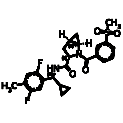 Cc1cc(F)c([C@H](NC(=O)[C@H]2C[C@H]3C[C@H]3N2C(=O)c2cccc(S(C)(=O)=O)c2)C2CC2)cc1F